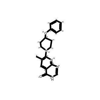 Cc1cc2c(=O)[nH]cnc2nc1N1CCC(Oc2ccccc2)CC1